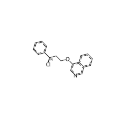 Cl[C@H](CCOc1cncc2ccccc12)c1ccccc1